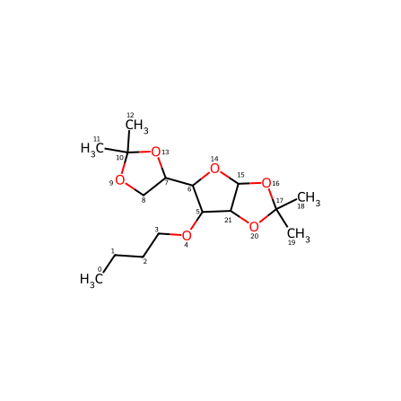 CCCCOC1C(C2COC(C)(C)O2)OC2OC(C)(C)OC21